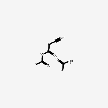 CC(=O)O.CC(=O)OC(=O)CC#N